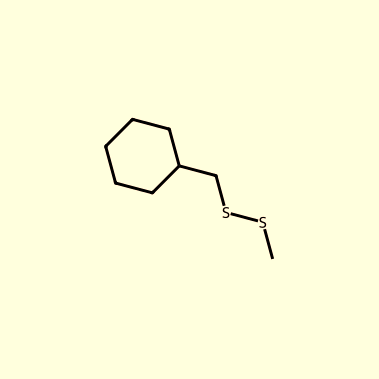 CSSCC1CCCCC1